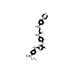 CCN(C)c1ccc(Nc2ncc(Cl)c(Sc3ccc(NC(=O)CCNc4ccc(N5CCOCC5)cc4)cc3)n2)cc1